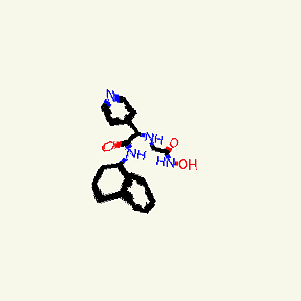 O=C(CNC(C(=O)NC1CCCc2ccccc21)c1ccncc1)NO